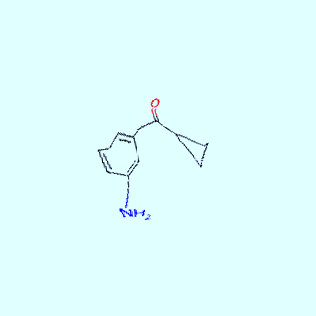 Nc1cccc(C(=O)C2CC2)c1